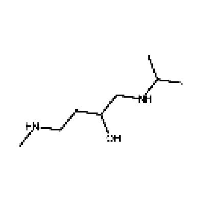 CNCCC(O)CNC(C)C